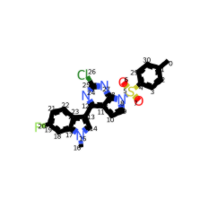 Cc1ccc(S(=O)(=O)n2ccc3c(-c4cn(C)c5cc(F)ccc45)nc(Cl)nc32)cc1